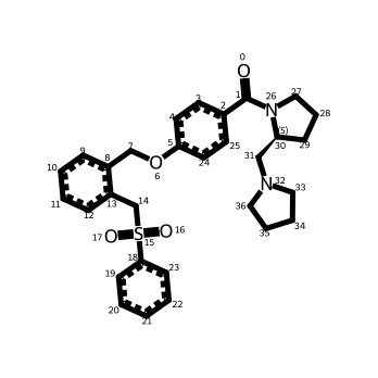 O=C(c1ccc(OCc2ccccc2CS(=O)(=O)c2ccccc2)cc1)N1CCC[C@H]1CN1CCCC1